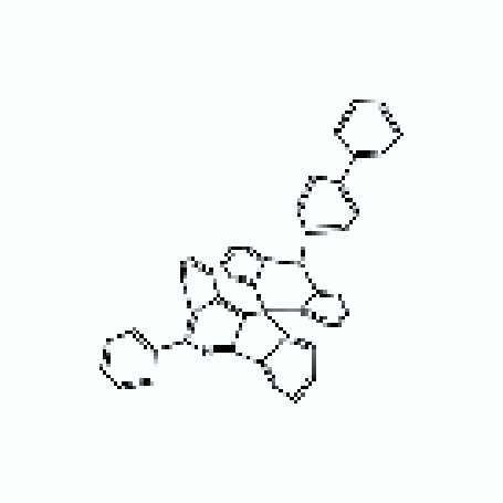 c1ccc(-c2ccc(N3c4ccccc4C4(c5ccccc5-c5nc(-c6ccccc6)c6ccccc6c54)c4ccccc43)cc2)cc1